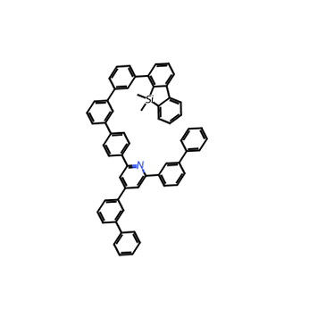 C[Si]1(C)c2ccccc2-c2cccc(-c3cccc(-c4cccc(-c5ccc(-c6cc(-c7cccc(-c8ccccc8)c7)cc(-c7cccc(-c8ccccc8)c7)n6)cc5)c4)c3)c21